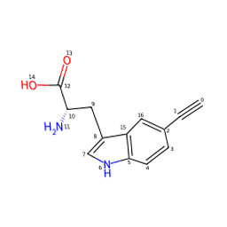 C#Cc1ccc2[nH]cc(C[C@H](N)C(=O)O)c2c1